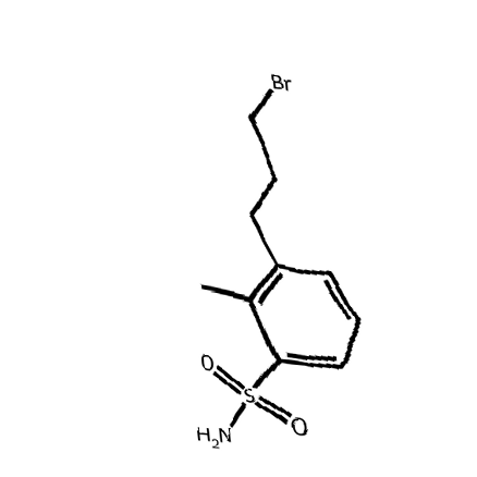 Cc1c(CCCBr)cccc1S(N)(=O)=O